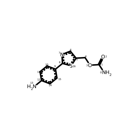 NC(=O)OCc1cnc(-c2ccc(N)cc2)s1